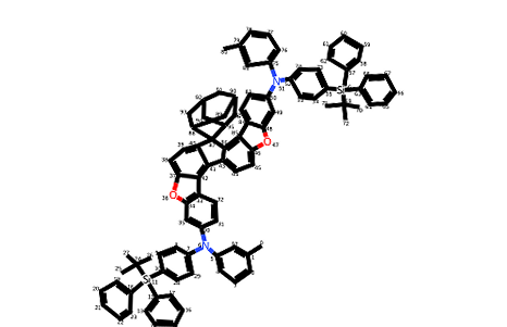 Cc1cccc(N(c2ccc([Si](c3ccccc3)(c3ccccc3)C(C)(C)C)cc2)c2ccc3c(c2)oc2ccc4c(c23)-c2ccc3oc5cc(N(c6ccc([Si](c7ccccc7)(c7ccccc7)C(C)(C)C)cc6)c6cccc(C)c6)ccc5c3c2C42C3CC4CC(C3)CC2C4)c1